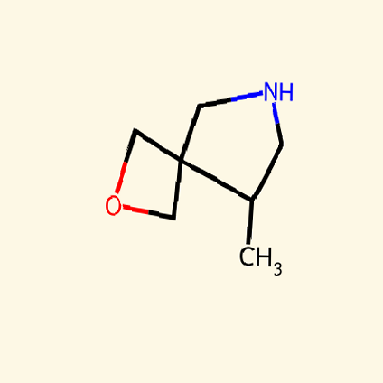 CC1CNCC12COC2